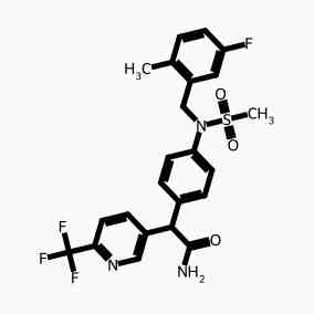 Cc1ccc(F)cc1CN(c1ccc(C(C(N)=O)c2ccc(C(F)(F)F)nc2)cc1)S(C)(=O)=O